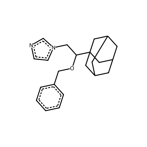 c1ccc(COC(Cn2ccnc2)C23CC4CC(CC(C4)C2)C3)cc1